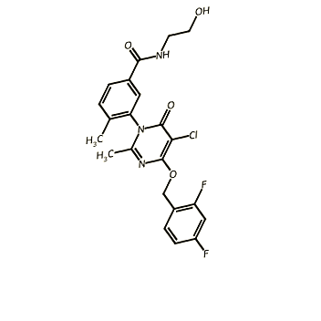 Cc1ccc(C(=O)NCCO)cc1-n1c(C)nc(OCc2ccc(F)cc2F)c(Cl)c1=O